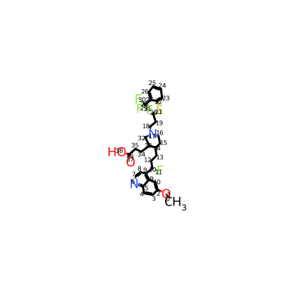 COc1ccc2nccc([C@@H](F)CCC3CCN(CCCSc4ccccc4C(F)(F)F)CC3CCC(=O)O)c2c1